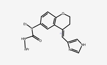 CCCNC(=O)N(CC)c1ccc2c(c1)/C(=C/c1c[nH]cn1)CCO2